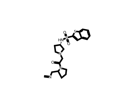 C=NCC1CCCN1C(=O)CN1CC[C@H](NS(=O)(=O)c2cc3ccccc3s2)C1